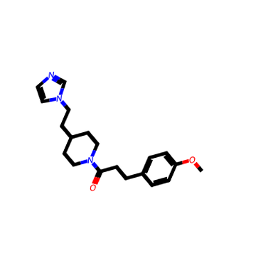 COc1ccc(CCC(=O)N2CCC(CCn3ccnc3)CC2)cc1